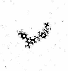 CC(C)(C)CNS(=O)(=O)c1cccc(NC(=O)Oc2cnn3c(C(F)F)cc(-c4ccc(C(F)(F)F)cc4)nc23)c1